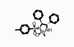 Cc1ccc(S(=O)(=O)[N]2[C@@H](c3ccccc3)[C@H](c3ccccc3)[NH][Rh]2([CH3])[Cl])cc1